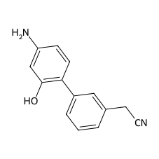 N#CCc1cccc(-c2ccc(N)cc2O)c1